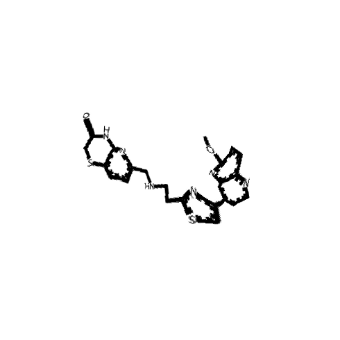 COc1ccc2nccc(-c3csc(CCNCc4ccc5c(n4)NC(=O)CS5)n3)c2n1